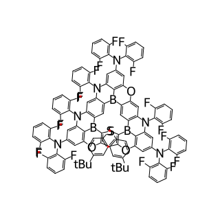 CC(C)(C)c1ccc2sc3c(c2c1)Oc1cc(N(c2c(F)cccc2F)c2c(F)cccc2F)cc2c1B3c1cc3c(cc1N2c1c(F)cccc1F)Oc1cc(N(c2c(F)cccc2F)c2c(F)cccc2F)cc2c1B3c1cc3c(cc1N2c1c(F)cccc1F)N(c1c(F)cccc1F)c1cc(N(c2c(F)cccc2F)c2c(F)cccc2F)cc2c1B3c1sc3ccc(C(C)(C)C)cc3c1O2